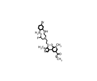 COC(=O)c1cc(-c2cnn(C)c2OCCN(CCNc2cc(Br)ccc2N)CC(F)F)c(=O)n(C)c1